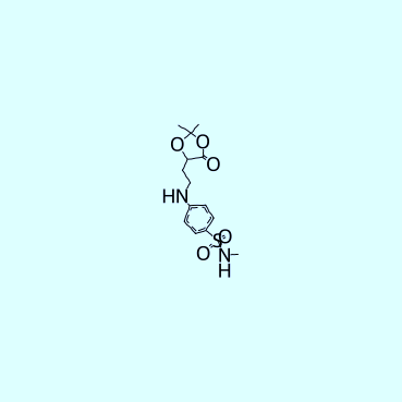 CNS(=O)(=O)c1ccc(NCCC2OC(C)(C)OC2=O)cc1